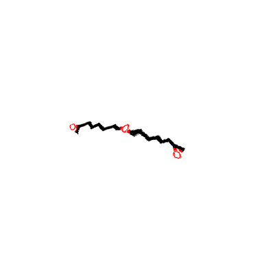 C(CCCC1CO1)CCOCCCCCCC1CO1